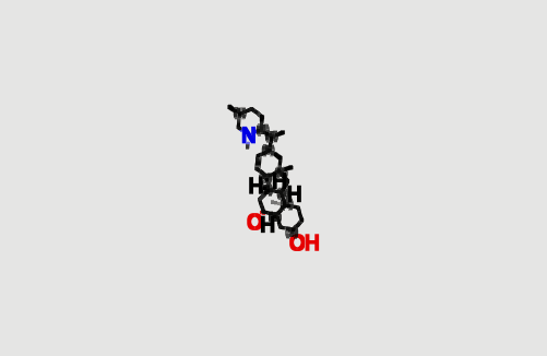 C[C@H]1CC[C@@H]([C@@H](C)[C@@H]2C=C[C@@H]3[C@H]4CC(=O)[C@H]5C[C@@H](O)CC[C@]5(C)[C@@H]4C[C@@]3(C)C2)N(C)C1